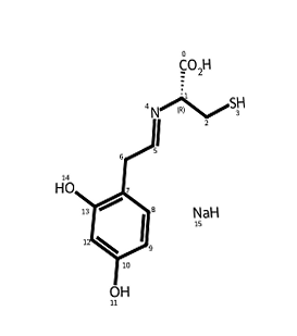 O=C(O)[C@H](CS)N=CCc1ccc(O)cc1O.[NaH]